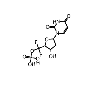 O=c1ccn([C@H]2C[C@H](O)[C@@H](C(F)(F)OP(=O)(O)O)O2)c(=O)[nH]1